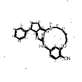 N#Cc1ccc2cc1OCCCCNc1nc(nc3c1CCC3c1ccccc1)N2